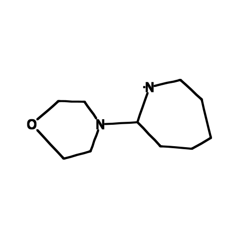 C1CC[N]C(N2CCOCC2)CC1